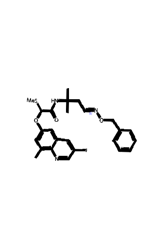 CSC(Oc1cc(C)c2ncc(I)cc2c1)C(=O)NC(C)(C)C/C=N/OCc1ccccc1